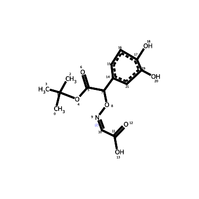 CC(C)(C)OC(=O)C(O/N=C\C(=O)O)c1ccc(O)c(O)c1